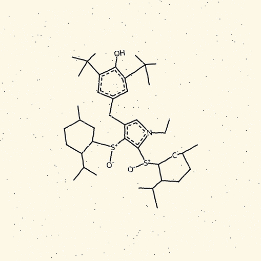 CCn1cc(Cc2cc(C(C)(C)C)c(O)c(C(C)(C)C)c2)c([S+]([O-])C2CC(C)CCC2C(C)C)c1[S+]([O-])C1CC(C)CCC1C(C)C